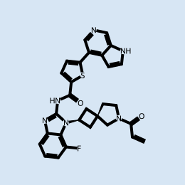 C=CC(=O)N1CC[C@]2(C1)C[C@H](n1c(NC(=O)c3ccc(-c4cncc5[nH]ccc45)s3)nc3cccc(F)c31)C2